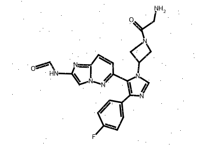 NCC(=O)N1CC(n2cnc(-c3ccc(F)cc3)c2-c2ccc3nc(NC=O)cn3n2)C1